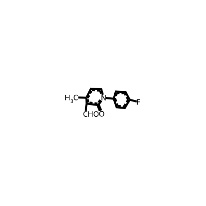 Cc1ccn(-c2ccc(F)cc2)c(=O)c1C=O